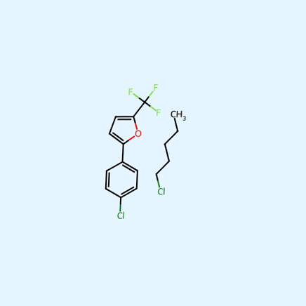 CCCCCCl.FC(F)(F)c1ccc(-c2ccc(Cl)cc2)o1